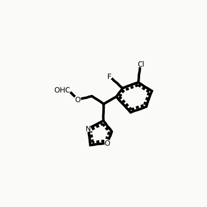 O=COCC(c1cocn1)c1cccc(Cl)c1F